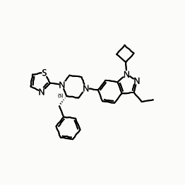 CCc1nn(C2CCC2)c2cc(N3CCN(c4nccs4)[C@@H](Cc4ccccc4)C3)ccc12